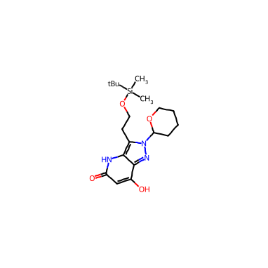 CC(C)(C)[Si](C)(C)OCCc1c2[nH]c(=O)cc(O)c2nn1C1CCCCO1